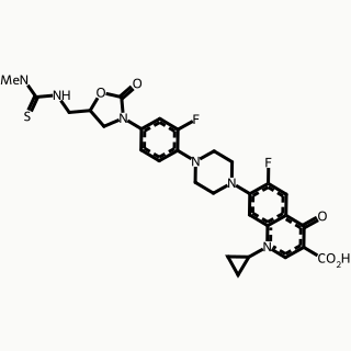 CNC(=S)NCC1CN(c2ccc(N3CCN(c4cc5c(cc4F)c(=O)c(C(=O)O)cn5C4CC4)CC3)c(F)c2)C(=O)O1